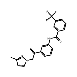 C=C(Cn1ccc(C)n1)c1cccc(NC(=O)c2cccc(C(F)(F)F)n2)c1